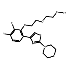 CCOCCOCCOc1c(-c2csc(N3CCOCC3)n2)ccc(F)c1F